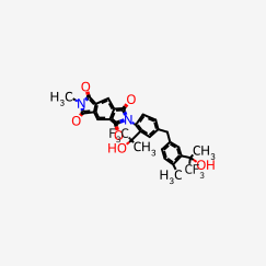 Cc1ccc(Cc2ccc(-n3c(=O)c4cc5c(=O)n(C)c(=O)c5cc4c3=O)c(C(C)(O)C(F)(F)F)c2)cc1C(C)(O)C(F)(F)F